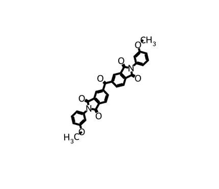 COc1cccc(N2C(=O)c3ccc(C(=O)c4ccc5c(c4)C(=O)N(c4cccc(OC)c4)C5=O)cc3C2=O)c1